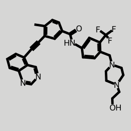 Cc1ccc(C(=O)Nc2ccc(CN3CCN(CCO)CC3)c(C(F)(F)F)c2)cc1C#Cc1cccc2ncncc12